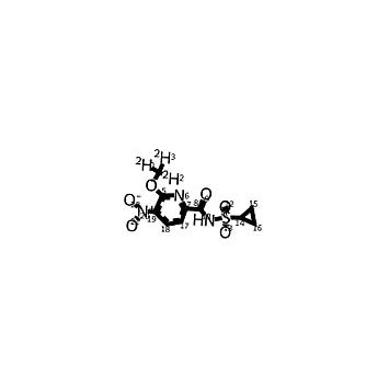 [2H]C([2H])([2H])Oc1nc(C(=O)NS(=O)(=O)C2CC2)ccc1[N+](=O)[O-]